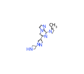 C[C@H]1CCN1c1nc(-c2cnn(C3CNC3)c2)cn2ccnc12